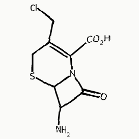 NC1C(=O)N2C(C(=O)O)=C(CCl)CSC12